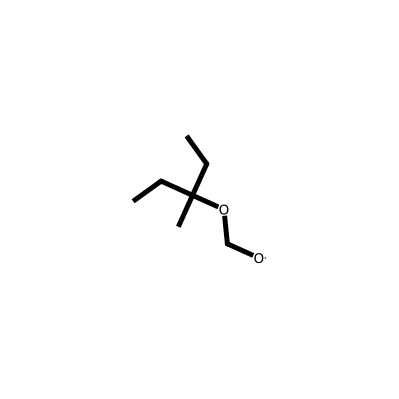 CCC(C)(CC)OC[O]